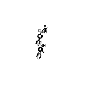 O=C(NCC(F)(F)F)c1ccc(-c2ccnc(Nc3ccc(N4CCOCC4)c(F)c3)n2)cc1